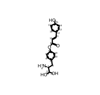 N[C@@H](Cc1ccc(OC(=O)C=Cc2ccc(O)cc2)cc1)C(O)O